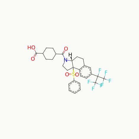 O=C(O)C1CCC(C(=O)N2CC[C@@]3(S(=O)(=O)c4ccccc4)c4ccc(C(F)(C(F)(F)F)C(F)(F)F)cc4CC[C@@H]23)CC1